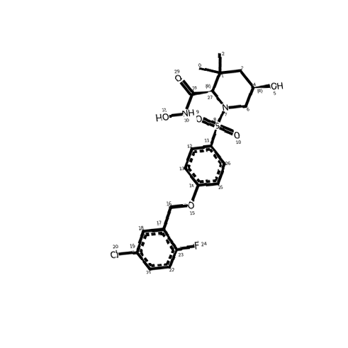 CC1(C)C[C@@H](O)CN(S(=O)(=O)c2ccc(OCc3cc(Cl)ccc3F)cc2)[C@H]1C(=O)NO